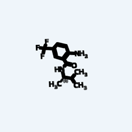 CC(C)[C@H](C)NC(=O)c1cc(C(F)(F)F)ccc1N